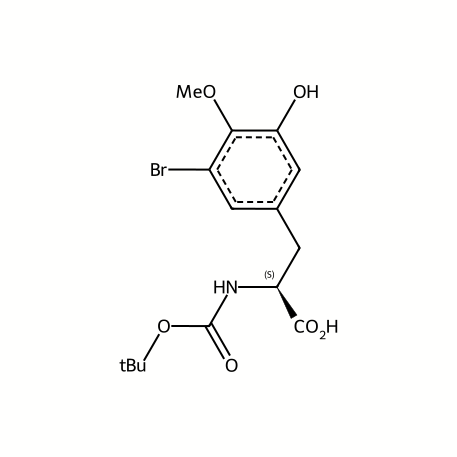 COc1c(O)cc(C[C@H](NC(=O)OC(C)(C)C)C(=O)O)cc1Br